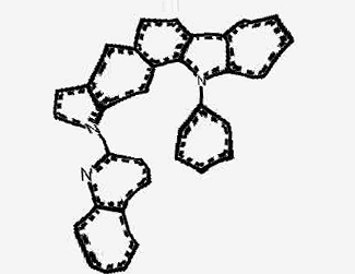 c1ccc(-n2c3ccccc3c3ccc4cc5ccn(-c6ccc7ccccc7n6)c5cc4c32)cc1